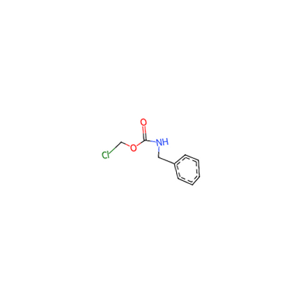 O=C(NCc1ccccc1)OCCl